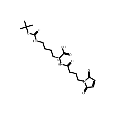 CC(C)(C)OC(=O)NCCCC[C@H](NC(=O)CCCN1C(=O)C=CC1=O)C(=O)O